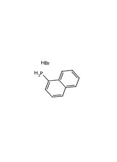 Br.Pc1cccc2ccccc12